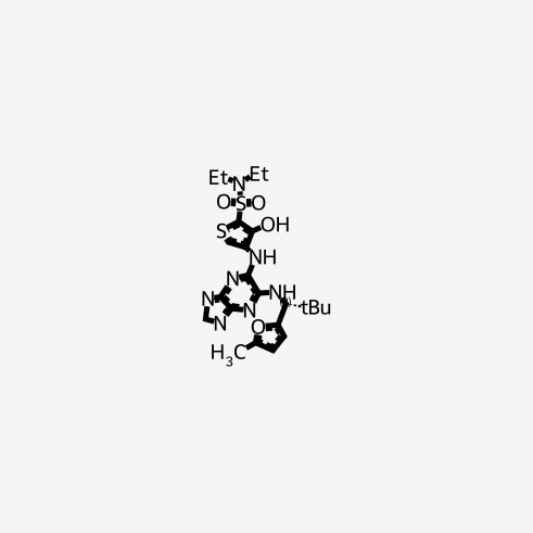 CCN(CC)S(=O)(=O)c1scc(Nc2nc3c(nc2N[C@@H](c2ccc(C)o2)C(C)(C)C)=NCN=3)c1O